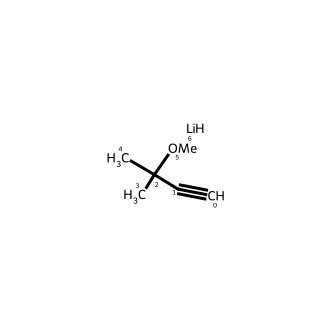 C#CC(C)(C)OC.[LiH]